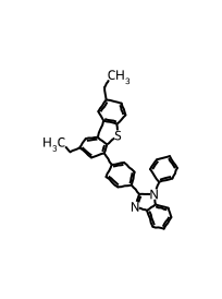 CCc1ccc2sc3c(-c4ccc(-c5nc6ccccc6n5-c5ccccc5)cc4)cc(CC)cc3c2c1